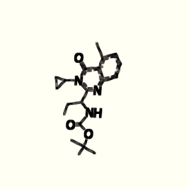 CCC(NC(=O)OC(C)(C)C)c1nc2cccc(C)c2c(=O)n1C1CC1